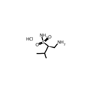 CC(C)[C@H](CN)S(N)(=O)=O.Cl